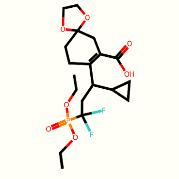 CCOP(=O)(OCC)C(F)(F)CC(C1=C(C(=O)O)CC2(CC1)OCCO2)C1CC1